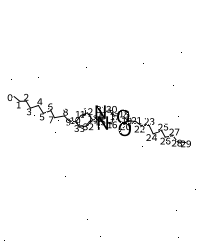 CCCCCCCCCCc1ccc(-c2ncc(OC(=O)CCCCCCCCC)cn2)cc1